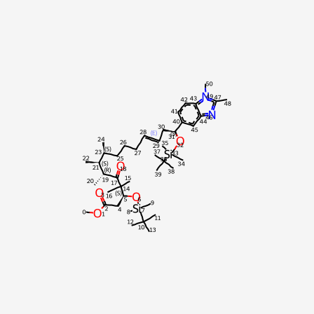 COC(=O)C[C@H](O[Si](C)(C)C(C)(C)C)C(C)(C)C(=O)[C@H](C)[C@@H](C)[C@@H](C)CCC/C=C/C[C@H](O[Si](C)(C)C(C)(C)C)c1ccc2c(c1)nc(C)n2C